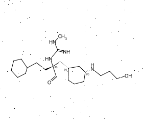 CNC(=N)N[C@](C=O)(CCC1CCCCC1)C[C@H]1CCC[C@@H](NCCCO)C1